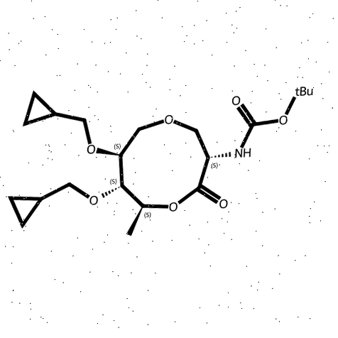 C[C@@H]1OC(=O)[C@@H](NC(=O)OC(C)(C)C)COC[C@H](OCC2CC2)[C@H]1OCC1CC1